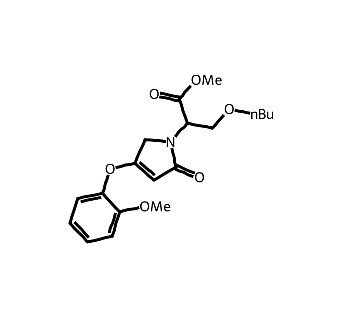 CCCCOCC(C(=O)OC)N1CC(Oc2ccccc2OC)=CC1=O